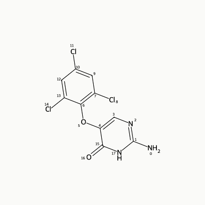 Nc1ncc(Oc2c(Cl)cc(Cl)cc2Cl)c(=O)[nH]1